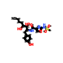 CS(=O)(=O)Nc1nc(C(=O)NC(Cc2ccc(O)cc2)C(O)C(O)CCCC#N)co1